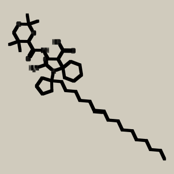 CCCCCCCCC/C=C/CCCCCC1(N(C(N)=O)C2(C(CNC(=O)C3OC(C)(C)OCC3(C)C)C(=O)O)CCCCC2)CCCC1